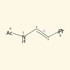 CC(=O)N/C=C/C(C)C